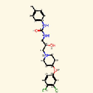 Cc1ccc(NC(=O)NC[C@@H](O)CN2CCC(Oc3ccc(Cl)c(Cl)c3)CC2)cc1